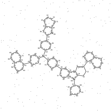 C1=C(c2cccc3ccccc23)CCc2c1c1cc(-c3ccc(N(c4ccc(-c5nc6ccccc6s5)cc4)c4ccc(-c5cccc6ccccc56)cc4)cc3)ccc1n2-c1ccccc1